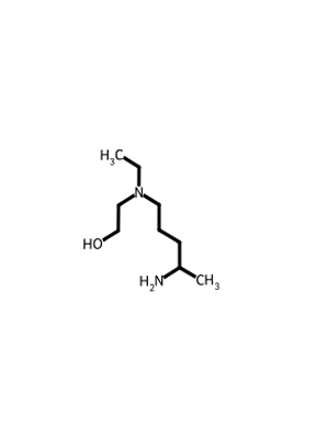 CCN(CCO)CCCC(C)N